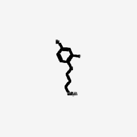 CCOC(=O)CCCOc1ccc(Br)cc1F